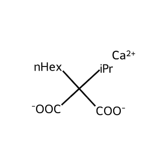 CCCCCCC(C(=O)[O-])(C(=O)[O-])C(C)C.[Ca+2]